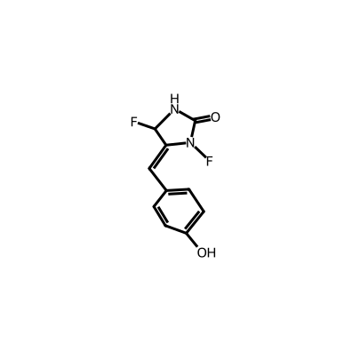 O=C1NC(F)C(=Cc2ccc(O)cc2)N1F